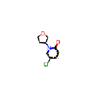 O=c1c[c]c(Cl)cn1C1CCOC1